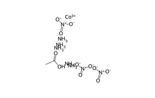 CC(=O)O.N.N.N.N.N.O=[N+]([O-])[O-].O=[N+]([O-])[O-].O=[N+]([O-])[O-].[Co+3]